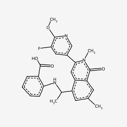 COc1ncc(-c2cc3c(C(C)Nc4ccccc4C(=O)O)cc(C)cc3c(=O)n2C)cc1F